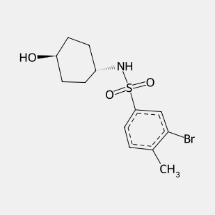 Cc1ccc(S(=O)(=O)N[C@H]2CC[C@H](O)CC2)cc1Br